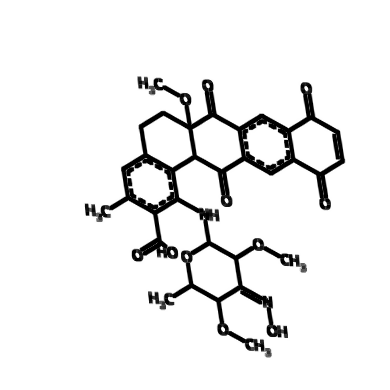 COC1C(=NO)C(OC)C(Nc2c(C(=O)O)c(C)cc3c2C2C(=O)c4cc5c(cc4C(=O)C2(OC)CC3)C(=O)C=CC5=O)OC1C